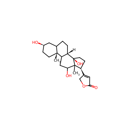 CC12C(O)CC3[C@H](CCC4C[C@H](O)CC[C@]43C)[C@]1(O)CC[C@H]2C1=CC(=O)OC1